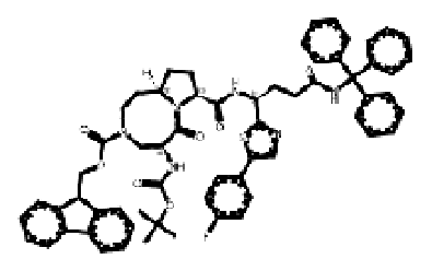 CC(C)(C)OC(=O)N[C@H]1CN(C(=O)OCC2c3ccccc3-c3ccccc32)CC[C@H]2CC[C@@H](C(=O)N[C@@H](CCC(=O)NC(c3ccccc3)(c3ccccc3)c3ccccc3)c3ncc(-c4ccc(F)cc4)s3)N2C1=O